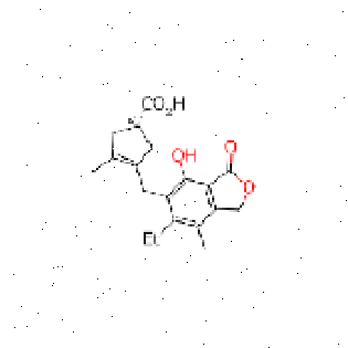 CCc1c(C)c2c(c(O)c1CC1=C(C)C[C@H](C(=O)O)C1)C(=O)OC2